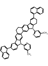 Cc1ccnc(-n2c3c(c4cc5c(cc42)-c2cc4c(cc2CC5)c2cc(-c5cccc6ccccc56)ccc2n4-c2cc(C)ccn2)C=C(c2cccc4ccccc24)CC3)c1